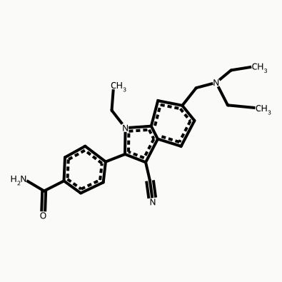 CCN(CC)Cc1ccc2c(C#N)c(-c3ccc(C(N)=O)cc3)n(CC)c2c1